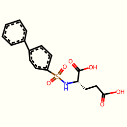 O=C(O)CC[C@H](NS(=O)(=O)c1ccc(-c2ccccc2)cc1)C(=O)O